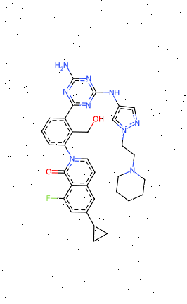 Nc1nc(Nc2cnn(CCN3CCCCC3)c2)nc(-c2cccc(-n3ccc4cc(C5CC5)cc(F)c4c3=O)c2CO)n1